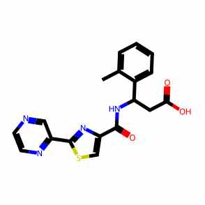 Cc1ccccc1C(CC(=O)O)NC(=O)c1csc(-c2cnccn2)n1